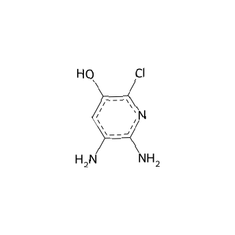 Nc1cc(O)c(Cl)nc1N